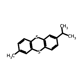 Cc1ccc2c(c1)Sc1ccc(C(C)C)cc1S2